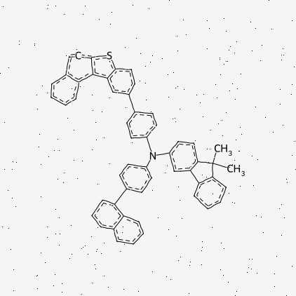 CC1(C)c2ccccc2-c2cc(N(c3ccc(-c4ccc5sc6ccc7ccccc7c6c5c4)cc3)c3ccc(-c4cccc5ccccc45)cc3)ccc21